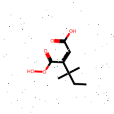 CCC(C)(C)C(=CC(=O)O)C(=O)OO